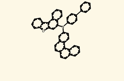 c1ccc(-c2ccc(N(c3ccc4c(ccc5ccc6ccccc6c54)c3)c3cc4oc5ccccc5c4c4ccccc34)cc2)cc1